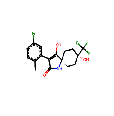 Cc1ccc(Br)cc1C1=C(O)[C@]2(CC[C@](O)(C(F)(F)F)CC2)NC1=O